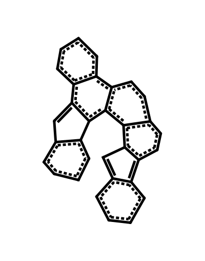 C1=c2ccccc2=c2ccc3ccc4c5ccccc5c5c(c4c3c21)-c1ccccc1C=5